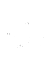 CC(C)C(C(=O)O)N1CCCNC1=N